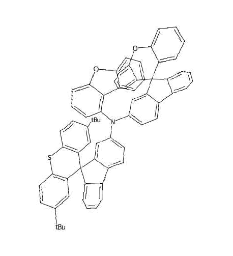 CC(C)(C)c1ccc2c(c1)C1(c3cc(C(C)(C)C)ccc3S2)c2ccccc2-c2ccc(N(c3ccc4c(c3)C3(c5ccccc5Oc5ccccc53)c3ccccc3-4)c3cccc4oc5ccccc5c34)cc21